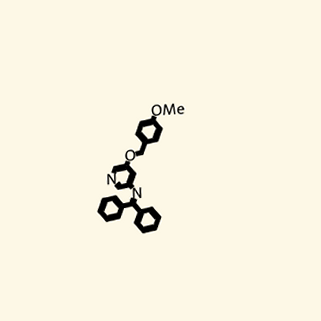 COc1ccc(COc2cncc(N=C(c3ccccc3)c3ccccc3)c2)cc1